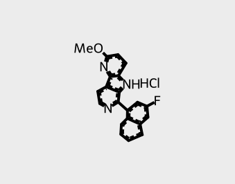 COc1ccc2[nH]c3c(-c4cc(F)cc5ccccc45)nccc3c2n1.Cl